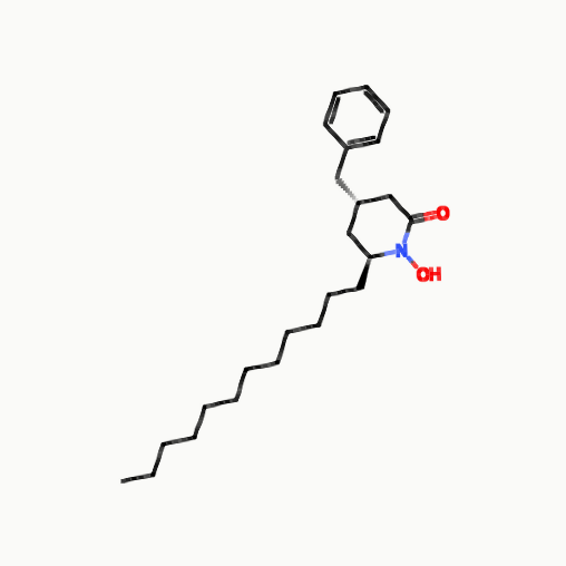 CCCCCCCCCCCC[C@H]1C[C@H](Cc2ccccc2)CC(=O)N1O